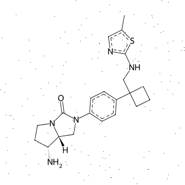 Cc1cnc(NCC2(c3ccc(N4C[C@@H]5[C@H](N)CCN5C4=O)cc3)CCC2)s1